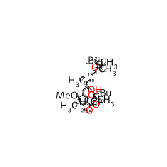 COc1c(C)c2c(c(O[Si](C)(C)C(C)(C)C)c1CC(O)/C(C)=C/CCO[Si](C)(C)C(C)(C)C)C(=O)OC2